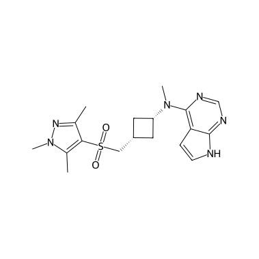 Cc1nn(C)c(C)c1S(=O)(=O)C[C@H]1C[C@@H](N(C)c2ncnc3[nH]ccc23)C1